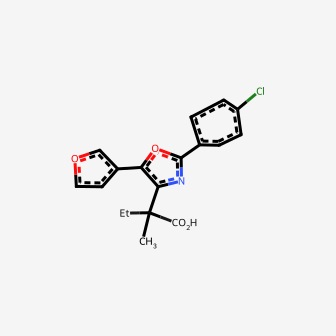 CCC(C)(C(=O)O)c1nc(-c2ccc(Cl)cc2)oc1-c1ccoc1